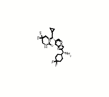 N[C@H](c1cn2ncc([C@@H](C3CC3)N3CC(F)(F)CNC3=O)cc2n1)C1CCC(F)(F)CC1